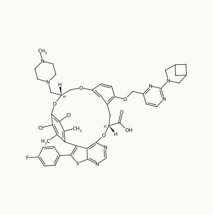 Cc1c(Cl)c2c(Cl)c(C)c1-c1c(-c3ccc(F)cc3)sc3ncnc(c13)O[C@@H](C(=O)O)Cc1cc(ccc1OCc1ccnc(N3CC4CC(C4)C3)n1)OC[C@@H](CN1CCN(C)CC1)O2